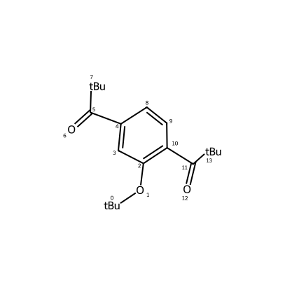 CC(C)(C)Oc1cc(C(=O)C(C)(C)C)ccc1C(=O)C(C)(C)C